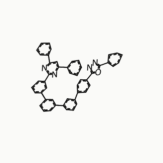 c1ccc(-c2cc(-c3ccccc3)nc(-c3cccc(-c4cccc(-c5cccc(-c6ccc(-c7nnc(-c8ccccc8)o7)cc6)c5)c4)c3)n2)cc1